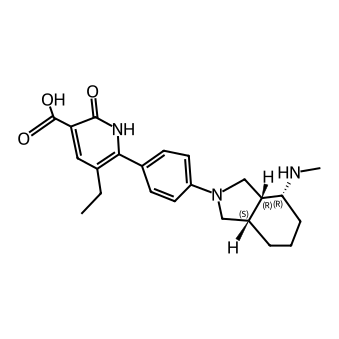 CCc1cc(C(=O)O)c(=O)[nH]c1-c1ccc(N2C[C@H]3CCC[C@@H](NC)[C@H]3C2)cc1